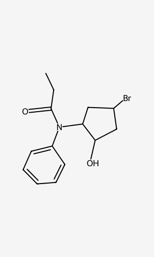 CCC(=O)N(c1ccccc1)C1CC(Br)CC1O